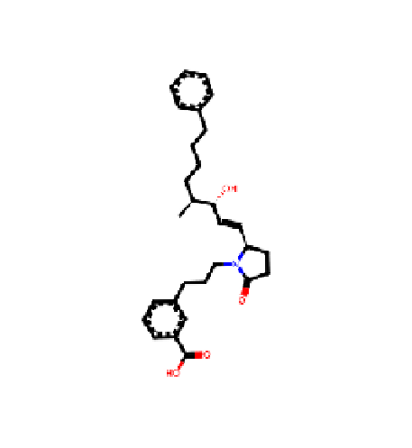 C[C@@H](CCCCc1ccccc1)[C@H](O)C=C[C@H]1CCC(=O)N1CCCc1cccc(C(=O)O)c1